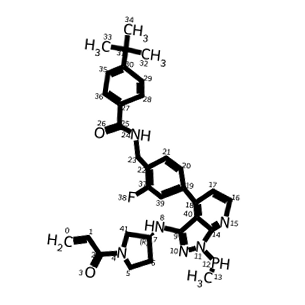 C=CC(=O)N1CC[C@@H](Nc2nn(PC)c3nccc(-c4ccc(CNC(=O)c5ccc(C(C)(C)C)cc5)c(F)c4)c23)C1